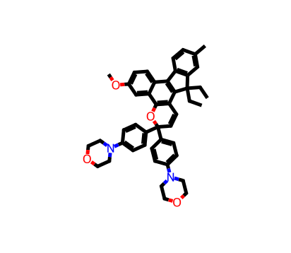 CCC1(CC)c2cc(C)ccc2-c2c1c1c(c3cc(OC)ccc23)OC(c2ccc(N3CCOCC3)cc2)(c2ccc(N3CCOCC3)cc2)C=C1